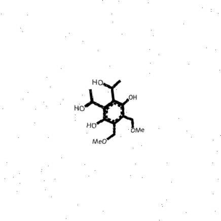 COCc1c(O)c(C(C)O)c(C(C)O)c(O)c1COC